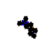 c1ccc(C2=NC(c3ccccc3)NC(c3cccc4c3oc3cccc(-c5cccc6c5sc5cccc(-n7c8ccccc8c8ccccc87)c56)c34)N2)cc1